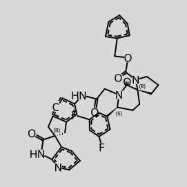 O=C(CN1C(=O)[C@@]2(CCCN2C(=O)OCc2ccccc2)CC[C@H]1c1cc(F)cc(F)c1)Nc1ccc2c(c1)C[C@@]1(C2)C(=O)Nc2ncccc21